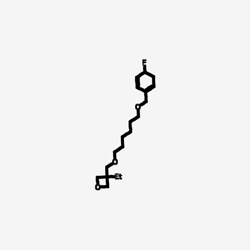 CCC1(COCCCCCCOCC2=CCC(F)C=C2)COC1